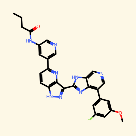 CCCC(=O)Nc1cncc(-c2ccc3[nH]nc(-c4nc5c(-c6cc(F)cc(OC)c6)cncc5[nH]4)c3n2)c1